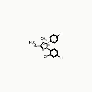 CNC1=NN(c2ccc(Cl)cc2Cl)[C@@H](c2ccc(Cl)cc2)[C@H]1C